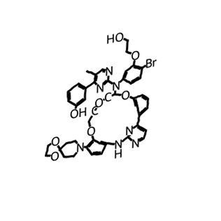 Cc1cnc(N(c2ccc(Br)c(OCCO)c2)C2COCCOc3cc(ccc3N3CCC4(CC3)OCCO4)Nc3nccc(n3)-c3cccc(c3)O2)nc1-c1cccc(O)c1